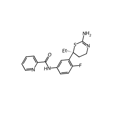 CC[C@@]1(c2cc(NC(=O)c3ccccn3)ccc2F)CCN=C(N)S1